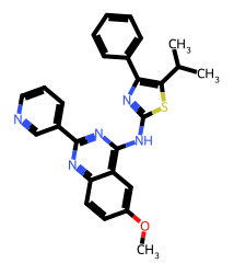 COc1ccc2nc(-c3cccnc3)nc(Nc3nc(-c4ccccc4)c(C(C)C)s3)c2c1